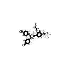 CC(C)(C)c1ccc(C2=NC(c3ccc(Cl)cc3)C(c3ccc(Cl)cc3)N2)c(OCCF)c1